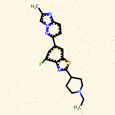 CCN1CCC(c2nc3c(F)cc(-c4ccc5nc(C)cn5n4)cc3s2)CC1